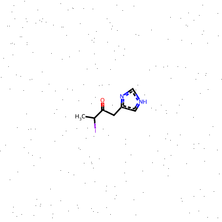 CC(I)C(=O)Cc1c[nH]cn1